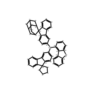 c1ccc2c(c1)-c1cc(N(c3ccc4c(c3)-c3ccccc3C43C4CC5CC(C4)CC3C5)c3cccc4oc5ccccc5c34)ccc1C21CCCC1